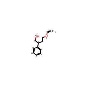 C=COCCC(CO)c1ccccc1